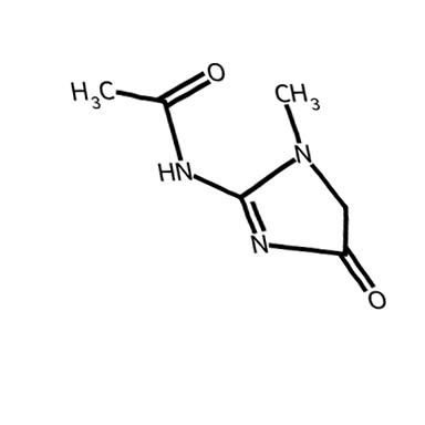 CC(=O)NC1=NC(=O)CN1C